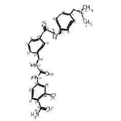 CN(C)Cc1ccc(NC(=O)c2cccc(CNC(=O)Nc3ccc(C(N)=O)c(Cl)c3)c2)cc1